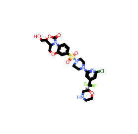 O=C1OC(CO)C2COc3cc(S(=O)(=O)N4CCN(c5cc(C(F)(F)[C@H]6CNCCO6)cc(Cl)n5)CC4)ccc3N12